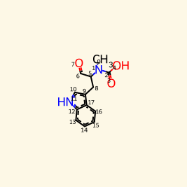 CN(C(=O)O)C(C=O)Cc1c[nH]c2ccccc12